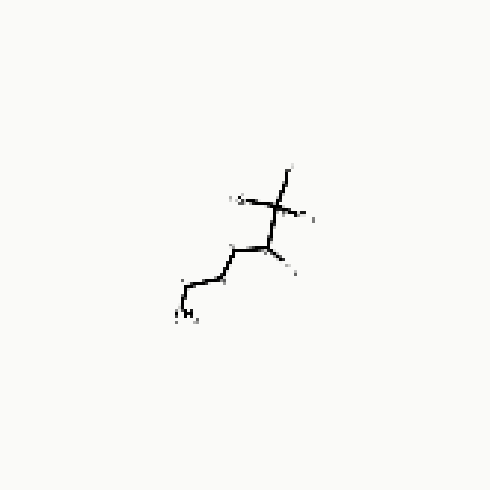 CCCCC(F)C(F)(F)[S]